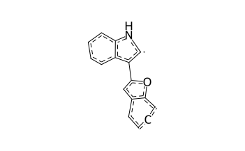 [c]1[nH]c2ccccc2c1-c1cc2ccccc2o1